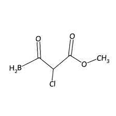 BC(=O)C(Cl)C(=O)OC